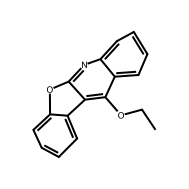 CCOc1c2ccccc2nc2oc3ccccc3c12